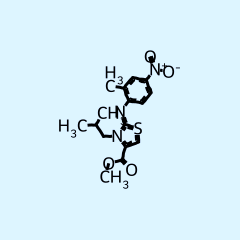 COC(=O)c1csc(=Nc2ccc([N+](=O)[O-])cc2C)n1CC(C)C